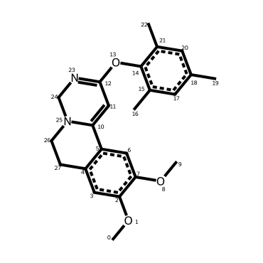 COc1cc2c(cc1OC)C1=CC(Oc3c(C)cc(C)cc3C)=NCN1CC2